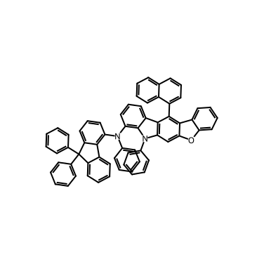 c1ccc(N(c2cccc3c2-c2ccccc2C3(c2ccccc2)c2ccccc2)c2cccc3c4c(-c5cccc6ccccc56)c5c(cc4n(-c4ccccc4)c23)oc2ccccc25)cc1